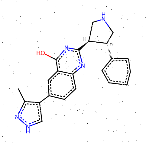 Cc1n[nH]cc1-c1ccc2nc([C@H]3CNC[C@@H]3c3ccccc3)nc(O)c2c1